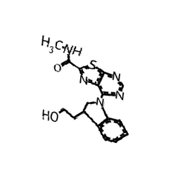 CNC(=O)c1nc2c(N3CC(CCO)c4ccccc43)ncnc2s1